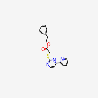 O=C(CSc1nccc(-c2ccccn2)n1)OCCc1ccccc1